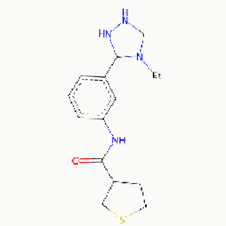 CCN1CNNC1c1cccc(NC(=O)C2CCSC2)c1